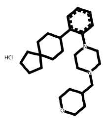 Cl.c1ccc(N2CCN(CC3CCOCC3)CC2)c(C2CCC3(CCCC3)CC2)c1